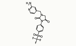 Nc1cc(CN2CC(=O)N(c3ccc(S(=O)(=O)C(F)(F)F)cc3)C2=O)ccn1